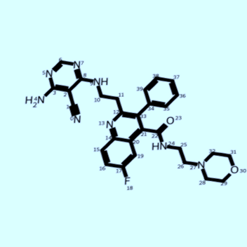 N#Cc1c(N)ncnc1NCCc1nc2ccc(F)cc2c(C(=O)NCCN2CCOCC2)c1-c1ccccc1